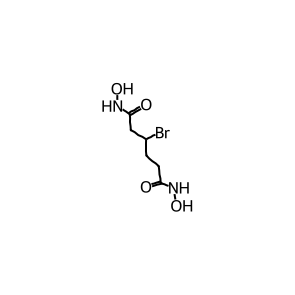 O=C(CCC(Br)CC(=O)NO)NO